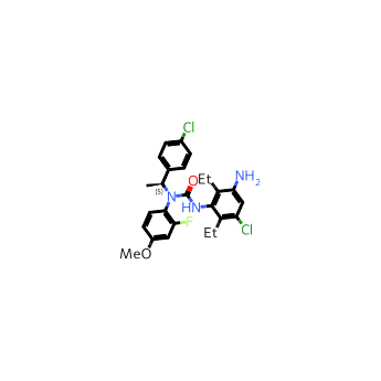 CCc1c(N)cc(Cl)c(CC)c1NC(=O)N(c1ccc(OC)cc1F)[C@@H](C)c1ccc(Cl)cc1